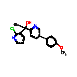 CC(C)(C)C(O)(c1ccc(-c2ccc(OC(F)(F)F)cc2)cn1)c1cccnc1Cl